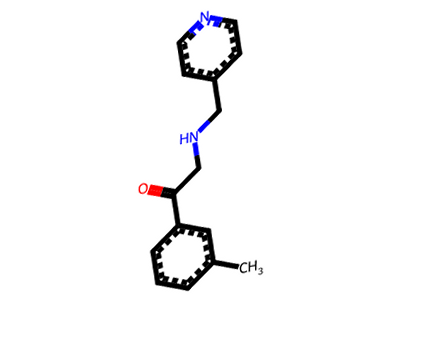 Cc1cccc(C(=O)CNCc2ccncc2)c1